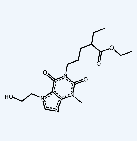 CCOC(=O)C(CC)CCCn1c(=O)c2c(ncn2CCO)n(C)c1=O